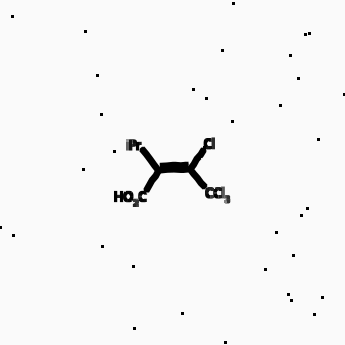 CC(C)C(C(=O)O)=C(Cl)C(Cl)(Cl)Cl